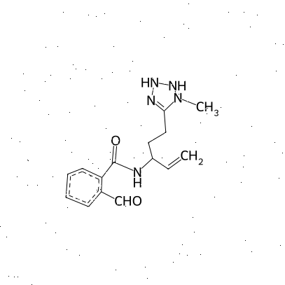 C=CC(CCC1=NNNN1C)NC(=O)c1ccccc1C=O